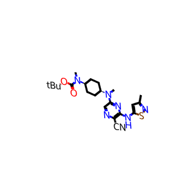 Cc1cc(Nc2nc(N(C)[C@H]3CC[C@H](N(C)C(=O)OC(C)(C)C)CC3)cnc2C#N)sn1